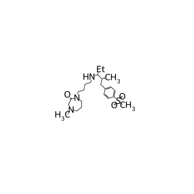 CCC(NCCCCN1CCCN(C)CC1=O)[C@@H](C)Cc1ccc(S(C)(=O)=O)cc1